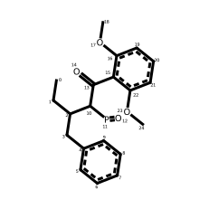 CCC(Cc1ccccc1)C(P=O)C(=O)c1c(OC)cccc1OC